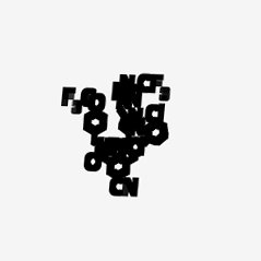 Cc1cc(C#N)cc(C(=O)NCc2ccc(OC(F)(F)F)cc2)c1NC(=O)c1cc(Cn2nnc(C(F)(F)F)n2)nn1-c1c(Cl)cccc1Cl